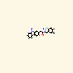 O=C(Cc1ccc2c(c1)[nH]c1ccccc12)NCc1cc(F)ccc1F